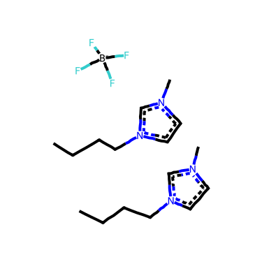 CCCC[n+]1ccn(C)c1.CCCC[n+]1ccn(C)c1.F[B-](F)(F)F